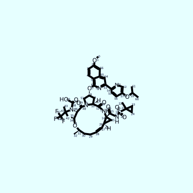 COc1ccc2c(O[C@@H]3C[C@H]4C(=O)N[C@]5(C(=O)NS(=O)(=O)C6(C)CC6)C[C@H]5/C=C\CC[C@@H](C)O[C@@H](C)[C@H](N(C(=O)O)C(C)(C)C(F)(F)F)C(=O)N4C3)nc(-c3ccc(OC(C)C)cn3)cc2c1